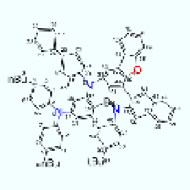 CCCCc1ccc(N(c2ccc(CCCC)cc2)c2ccc3c(c2)N(c2ccc(-c4ccccc4)cc2C)c2cc4c(oc5ccccc54)c4c2B3N(c2ccc(C(C)(C)C)cc2)c2cc3ccccc3cc2-4)cc1